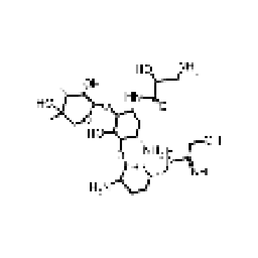 C[C@@H]1C(O)[C@@H](OC2C(O)C(O[C@H]3O[C@H](CNC(=N)CO)CCC3N)[C@@H](N)C[C@H]2NC(=O)[C@@H](O)CN)OCC1(C)O